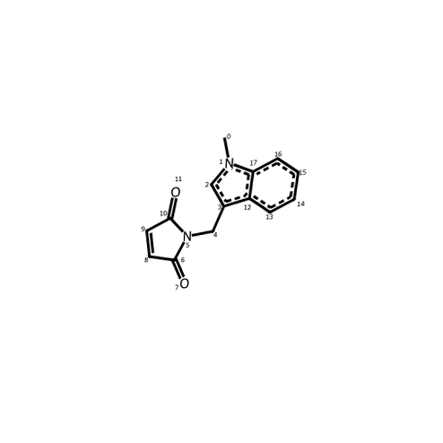 Cn1cc(CN2C(=O)C=CC2=O)c2ccccc21